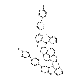 Fc1ccc(-c2ccc(-c3ccc(F)c(N(c4ccccc4F)c4ccc5ccc6c(N(c7ccccc7F)c7cc(-c8ccc(-c9ccc(F)cc9)cc8)ccc7F)ccc7ccc4c5c76)c3)cc2)cc1